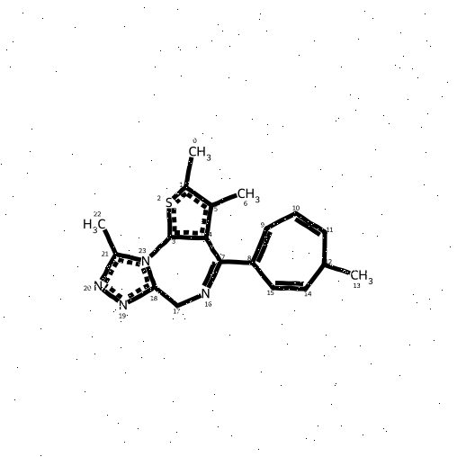 Cc1sc2c(c1C)C(C1=CC=CC(C)C=C1)=NCc1nnc(C)n1-2